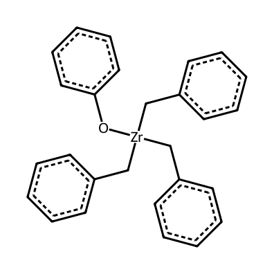 c1ccc([CH2][Zr]([CH2]c2ccccc2)([CH2]c2ccccc2)[O]c2ccccc2)cc1